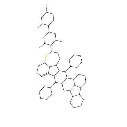 CC1CC(I)CCC1C1CC(C)C(C2CCC3C4C(=CCCC4S2)C2C(C4CCCCC4)C4CC5C6CCCCC6C6CCCC(C65)C4C(C4CCCCC4)C32)C(C)C1